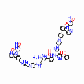 Nc1nnc(-c2cccc(Nc3nnc(-c4ccccc4O)cc3-c3cnn(C4CCN(C5CCC(c6cccc7c6c6cccnc6n7C6CCC(=O)NC6=O)CC5)CC4)c3)c2O)cc1-c1cnn(C2CCN(Cc3cn(Cc4ccc5c(c4)c4cccnc4n5C4CCC(=O)NC4=O)nn3)CC2)c1